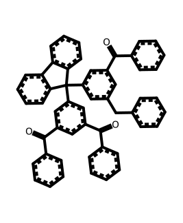 O=C(c1ccccc1)c1cc(Cc2ccccc2)cc(C2(c3cc(C(=O)c4ccccc4)cc(C(=O)c4ccccc4)c3)c3ccccc3-c3ccccc32)c1